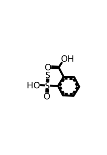 O=C(O)c1ccccc1S(=O)(O)=S